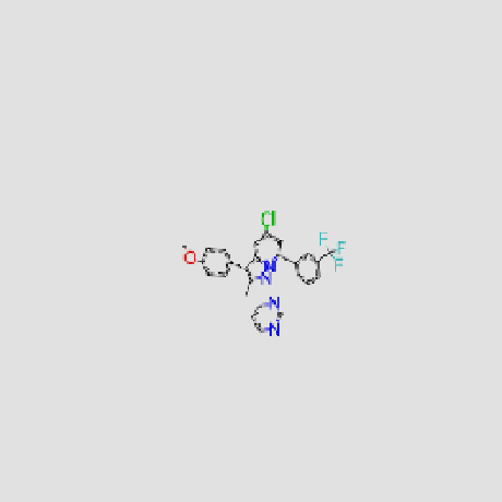 COc1ccc(-c2c(C)nn3c(-c4cccc(C(F)(F)F)c4)cc(Cl)cc23)cc1.c1cncnc1